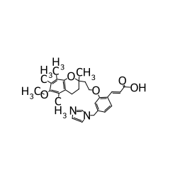 COc1c(C)c(C)c2c(c1C)CCC(C)(CCOc1cc(Cn3ccnc3)ccc1/C=C/C(=O)O)O2